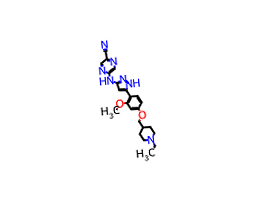 CCN1CCC(COc2ccc(-c3cc(Nc4cnc(C#N)cn4)n[nH]3)c(OC)c2)CC1